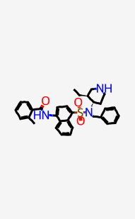 CC[C@H]1CNCC[C@@H]1N(Cc1ccccc1)S(=O)(=O)c1ccc(NC(=O)c2ccccc2C)c2ccccc12